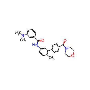 Cc1ccc(NC(=O)c2cccc(N(C)C)c2)cc1-c1ccc(C(=O)N2CCOCC2)cc1